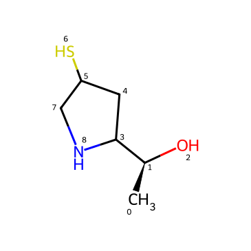 C[C@H](O)C1CC(S)CN1